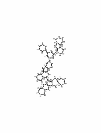 c1ccc(-c2nc(-c3ccc4c(c3)oc3c5ccccc5c(-n5c6cc7ccccc7cc6c6cc7ccccc7cc65)cc43)nc(-c3cccc4c3sc3ccccc34)n2)cc1